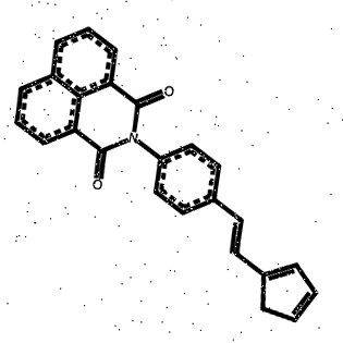 O=C1c2cccc3cccc(c23)C(=O)N1c1ccc(/C=C/C2=CC=CC2)cc1